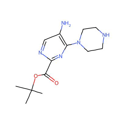 CC(C)(C)OC(=O)c1ncc(N)c(N2CCNCC2)n1